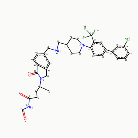 CC(CCC(=O)NC=O)N1Cc2cc(CNCC3CCN(c4ccc(-c5cccc(Cl)c5)cc4C(F)(F)F)CC3)ccc2C1=O